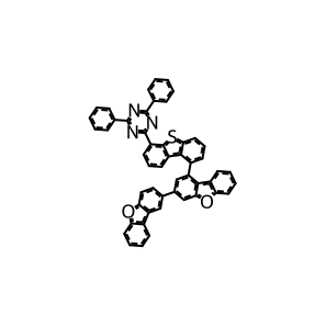 c1ccc(-c2nc(-c3ccccc3)nc(-c3cccc4c3sc3cccc(-c5cc(-c6ccc7oc8ccccc8c7c6)cc6oc7ccccc7c56)c34)n2)cc1